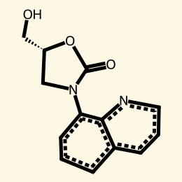 O=C1O[C@@H](CO)CN1c1cccc2cccnc12